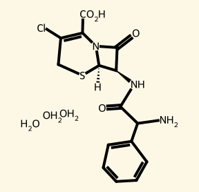 NC(C(=O)N[C@@H]1C(=O)N2C(C(=O)O)=C(Cl)CS[C@H]12)c1ccccc1.O.O.O